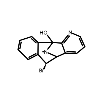 CN1C2c3cccnc3C1(O)c1ccccc1[C@@H]2Br